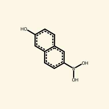 OB(O)c1ccc2cc(O)ccc2c1